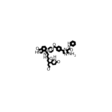 Nc1ncc(-c2ccc(C(=O)N3CCN(C(N)(CCCCC(CC=O)C4CCC(=O)NC4=O)c4cccc5c4CNC5=O)CC3)cc2)nc1C(=O)Nc1ccccc1